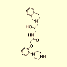 O=C(COc1ccccc1N1CCNCC1)NCC(O)CN1CCc2ccccc2C1